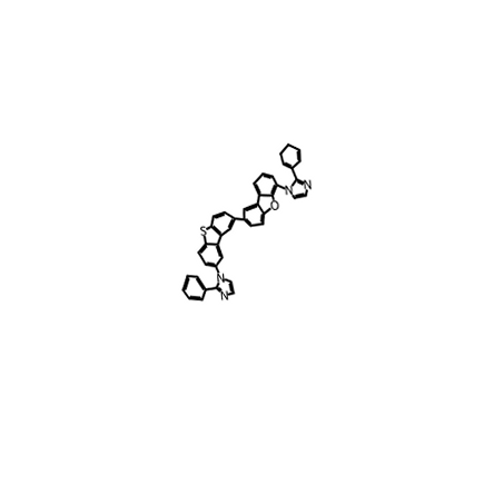 C1=CC(c2nccn2-c2cccc3c2oc2ccc(-c4ccc5sc6ccc(-n7ccnc7-c7ccccc7)cc6c5c4)cc23)=CCC1